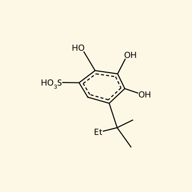 CCC(C)(C)c1cc(S(=O)(=O)O)c(O)c(O)c1O